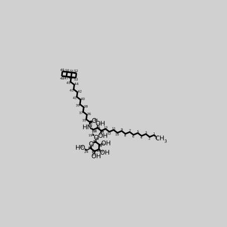 CCCCCCCCCCCCCC[C@@H](O)[C@@H](O)[C@H](CO[C@H]1O[C@H](CO)[C@H](O)[C@H](O)[C@H]1O)NC(=O)CCCCCCCCCCCC12C3C4C5C3C1C5C42